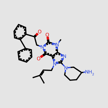 CC(C)=CCn1c(N2CCCC(N)C2)nc2c1c(=O)n(CC(=O)c1ccccc1-c1ccccc1)c(=O)n2C